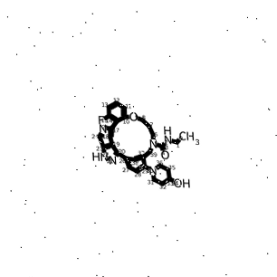 CCNC(=O)N1CCCOc2cccc(F)c2-c2cc3c(n[nH]c3cn2)-c2ccc(N3CCC(O)CC3)c(c2)C1